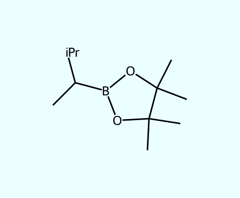 CC(C)C(C)B1OC(C)(C)C(C)(C)O1